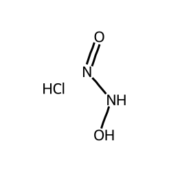 Cl.O=NNO